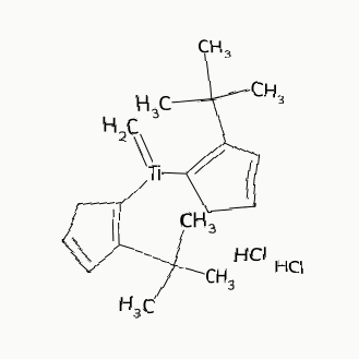 Cl.Cl.[CH2]=[Ti]([C]1=C(C(C)(C)C)C=CC1)[C]1=C(C(C)(C)C)C=CC1